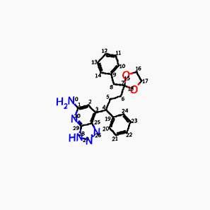 Nc1cc(C(CCC2(Cc3ccccc3)OCCO2)c2ccccc2)c2nn[nH]c2n1